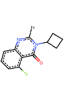 CCc1nc2cccc(F)c2c(=O)n1C1CCC1